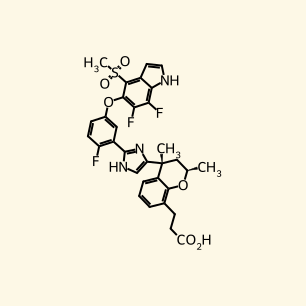 C[C@@H]1C[C@@](C)(c2c[nH]c(-c3cc(Oc4c(F)c(F)c5[nH]ccc5c4S(C)(=O)=O)ccc3F)n2)c2cccc(CCC(=O)O)c2O1